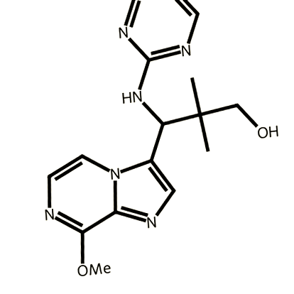 COc1nccn2c(C(Nc3ncccn3)C(C)(C)CO)cnc12